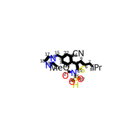 COC(=O)N(c1sc(CC(C)C)cc1-c1ccc(Cn2ccnc2C)cc1C#N)[SH](=O)=O